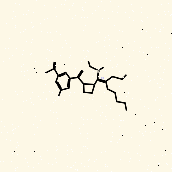 C=C(C)c1cc(C)cc(C(=C)C2CCC2/C(=C(/CCC)CCCCC)N(C)CC)c1